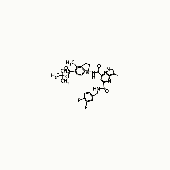 Cc1c(C(=O)OC(C)(C)C)ccc2c1CC[C@@H]2NC(=O)c1cc(C(=O)NCc2ccc(F)c(F)c2)nc2c(I)cnn12